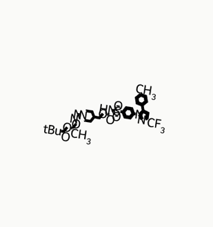 Cc1ccc(-c2cc(C(F)(F)F)nn2-c2ccc(S(=O)(=O)NC(=O)OCC3CCN(/N=N\OC(C)OC(=O)C(C)(C)C)CC3)cc2)cc1